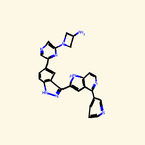 NC1CN(c2cncc(-c3ccc4[nH]nc(-c5cc6c(-c7cccnc7)nccc6[nH]5)c4c3)n2)C1